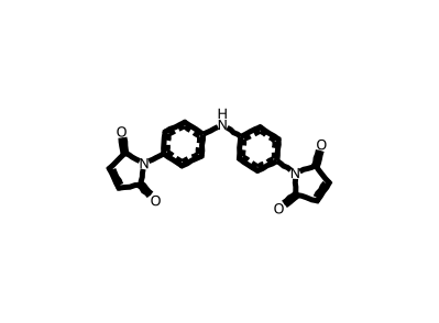 O=C1C=CC(=O)N1c1ccc(Nc2ccc(N3C(=O)C=CC3=O)cc2)cc1